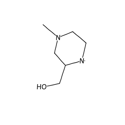 CN1CC[N]C(CO)C1